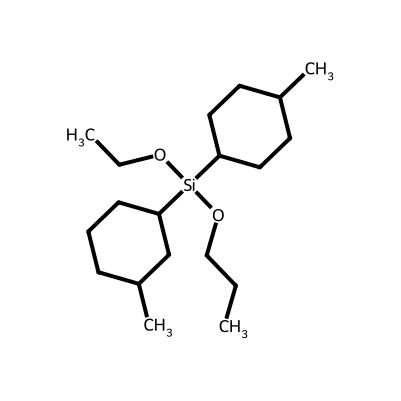 CCCO[Si](OCC)(C1CCC(C)CC1)C1CCCC(C)C1